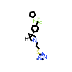 C1CCCC1.Cn1cnnc1SCCCN1C[C@@H]2C[C@]2(c2ccc(C(F)(F)F)cc2)C1